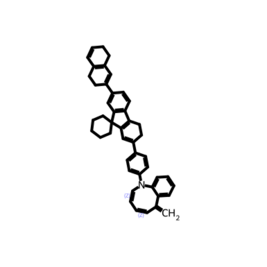 C=C1/C=C\C=C/N(c2ccc(C3=CC4=C(CC3)c3ccc(C5=CC6=C(C=CCC6)CC5)cc3C43CCCCC3)cc2)c2ccccc21